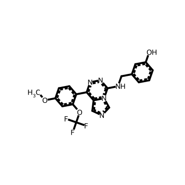 COc1ccc(-c2nnc(NCc3cccc(O)c3)n3cncc23)c(OC(F)(F)F)c1